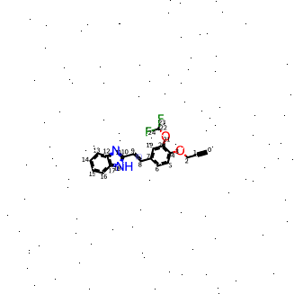 C#CCOc1ccc(/C=C/c2nc3ccccc3[nH]2)cc1OC(F)F